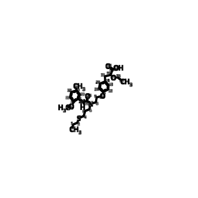 CCCSCCCN(CCOc1ccc(CC(OCC)C(=O)O)cc1)C(=O)Nc1cc(C)ccc1OC